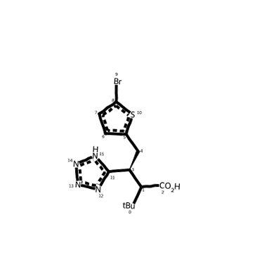 CC(C)(C)C(C(=O)O)[C@H](Cc1ccc(Br)s1)c1nnn[nH]1